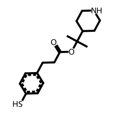 CC(C)(OC(=O)CCc1ccc(S)cc1)C1CCNCC1